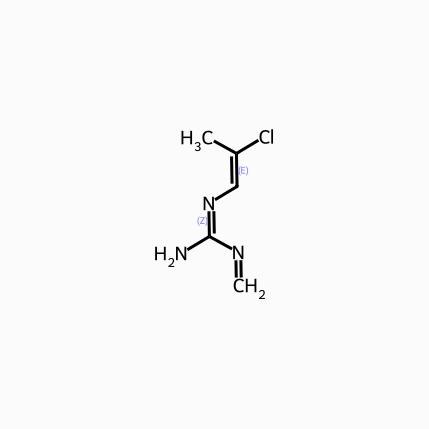 C=N/C(N)=N\C=C(/C)Cl